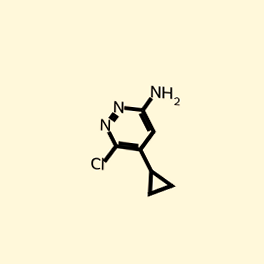 Nc1cc(C2CC2)c(Cl)nn1